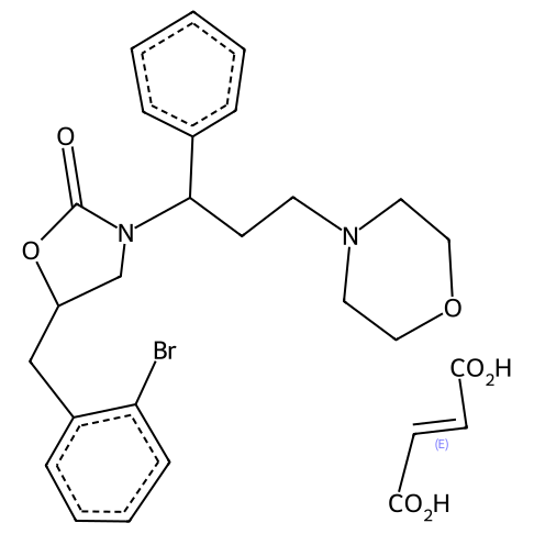 O=C(O)/C=C/C(=O)O.O=C1OC(Cc2ccccc2Br)CN1C(CCN1CCOCC1)c1ccccc1